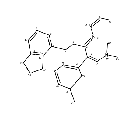 C\C=N/N=C(CCc1cccc2c1CCC2)/C(=C\N(C)C)C1=CC=CC(C)C1